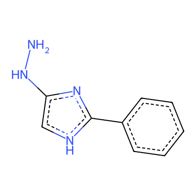 NNc1c[nH]c(-c2ccccc2)n1